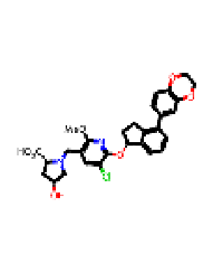 COc1nc(O[C@H]2CCc3c(-c4ccc5c(c4)OCCO5)cccc32)c(Cl)cc1CN1C[C@@H](O)C[C@H]1C(=O)O